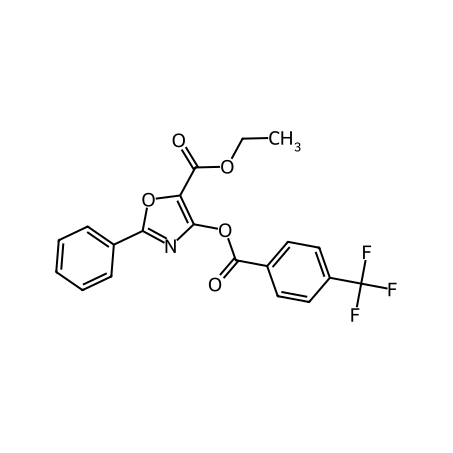 CCOC(=O)c1oc(-c2ccccc2)nc1OC(=O)c1ccc(C(F)(F)F)cc1